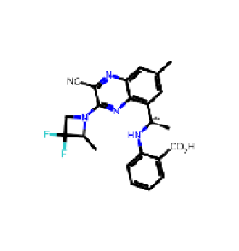 Cc1cc([C@@H](C)Nc2ccccc2C(=O)O)c2nc(N3CC(F)(F)C3C)c(C#N)nc2c1